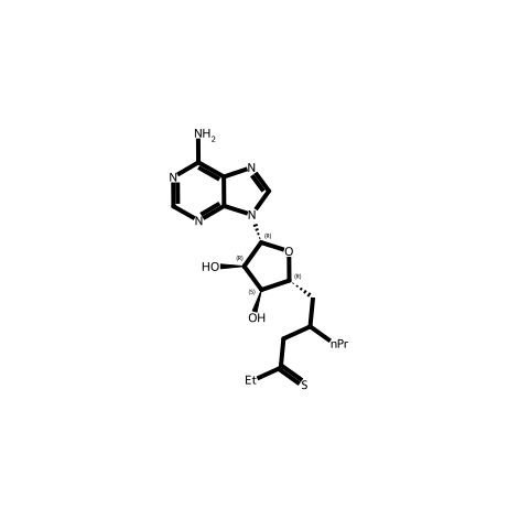 CCCC(CC(=S)CC)C[C@H]1O[C@@H](n2cnc3c(N)ncnc32)[C@H](O)[C@@H]1O